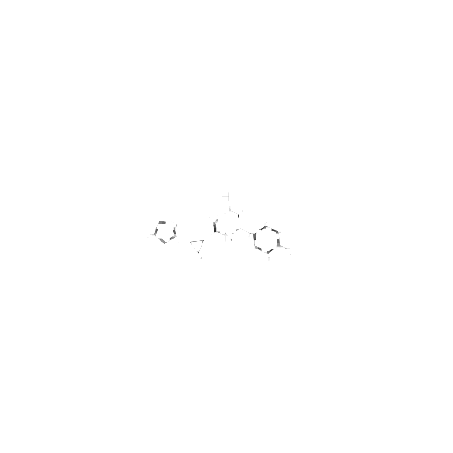 O=C(N[C@@H](CO)c1ccc(O)cc1)[C@H]1C[C@@H]1c1cccs1